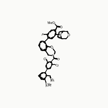 CNc1cccc(-c2cc(Cl)c(C(=O)N3COc4c(cccc4-c4cc(N5C6CCC5COC6)c(C(=O)OC)cc4F)C3)c(Cl)c2)c1C=N